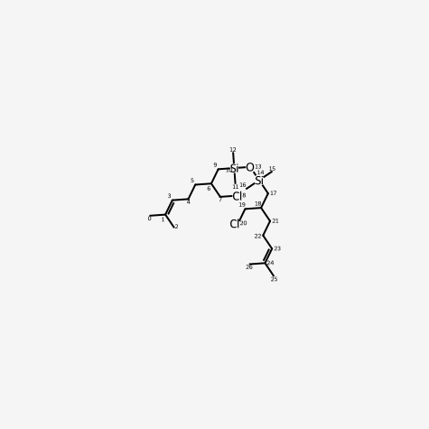 CC(C)=CCCC(CCl)C[Si](C)(C)O[Si](C)(C)CC(CCl)CCC=C(C)C